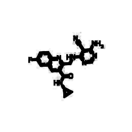 N#Cc1c(N)ncnc1NCc1nc2ccc(F)cc2cc1C(=O)NC1CC1